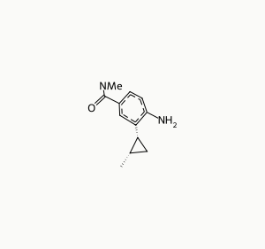 CNC(=O)c1ccc(N)c([C@@H]2C[C@@H]2C)c1